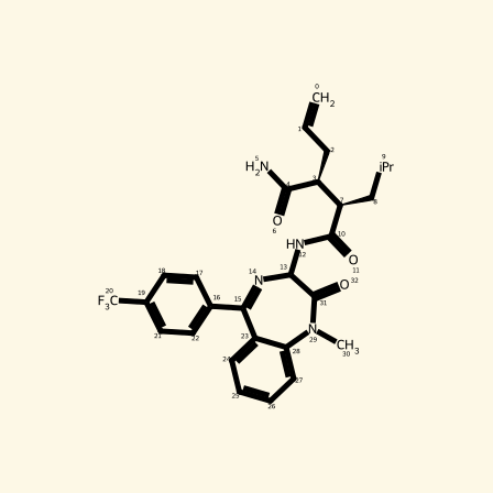 C=CC[C@H](C(N)=O)[C@@H](CC(C)C)C(=O)NC1N=C(c2ccc(C(F)(F)F)cc2)c2ccccc2N(C)C1=O